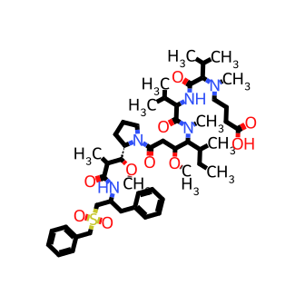 CCC(C)C(C(CC(=O)N1CCC[C@H]1C(OC)C(C)C(=O)NC(Cc1ccccc1)CS(=O)(=O)Cc1ccccc1)OC)N(C)C(=O)C(NC(=O)C(C(C)C)N(C)CCCC(=O)O)C(C)C